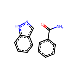 NC(=O)c1ccccc1.c1ccc2[nH]ncc2c1